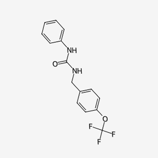 O=C(NCc1ccc(OC(F)(F)F)cc1)Nc1ccccc1